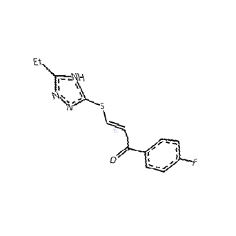 CCc1nnc(S/C=C/C(=O)c2ccc(F)cc2)[nH]1